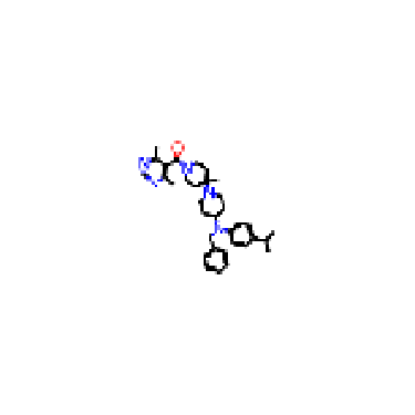 Cc1ncnc(C)c1C(=O)N1CCC(C)(N2CCC(N(Cc3ccccc3)c3ccc(C(C)C)cc3)CC2)CC1